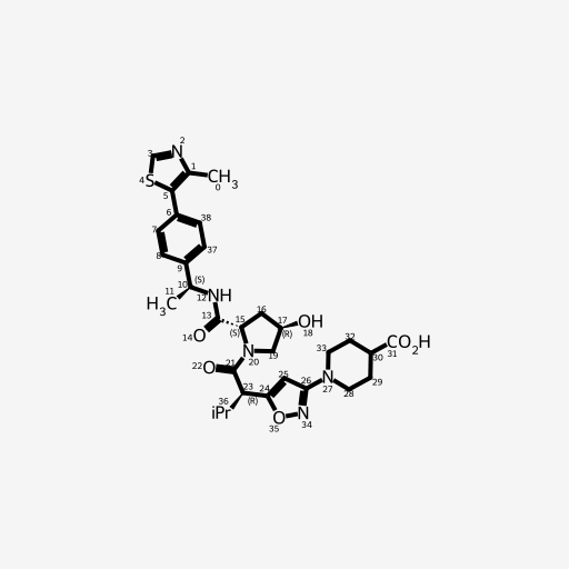 Cc1ncsc1-c1ccc([C@H](C)NC(=O)[C@@H]2C[C@@H](O)CN2C(=O)[C@@H](c2cc(N3CCC(C(=O)O)CC3)no2)C(C)C)cc1